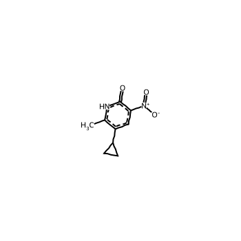 Cc1[nH]c(=O)c([N+](=O)[O-])cc1C1CC1